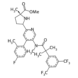 COC(=O)[C@@]1(C)CCC(c2cc(-c3ccc(F)cc3C)c(N(C)C(=O)C(C)(C)c3cc(C(F)(F)F)cc(C(F)(F)F)c3)cn2)N1